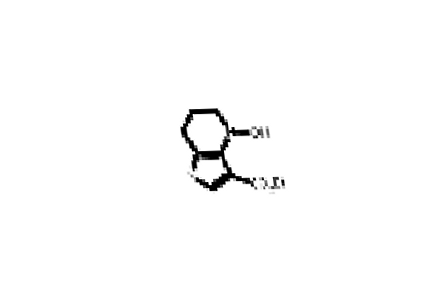 CCOC(=O)c1csc2c1N(O)CCC2